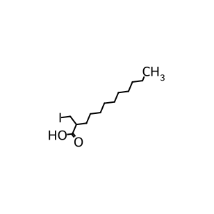 CCCCCCCCCCC(CI)C(=O)O